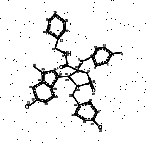 Cc1ccc(S[C@@]2(C(=O)NCc3ccccn3)CC(=O)N(Cc3ccc(Cl)cc3)[C@H]2c2cn(C)c3cc(Cl)ccc23)cc1